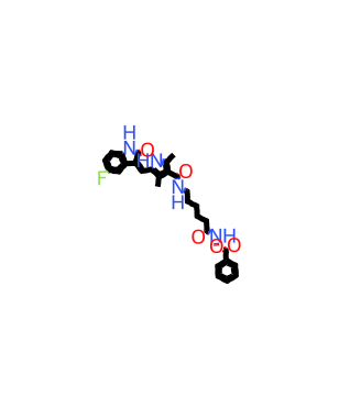 Cc1[nH]c(/C=C2\C(=O)Nc3ccc(F)cc32)c(C)c1C(=O)NCCCCCC(=O)NOC(=O)c1ccccc1